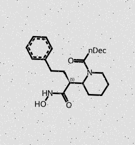 CCCCCCCCCCC(=O)N1CCCCC1[C@H](CCc1ccccc1)C(=O)NO